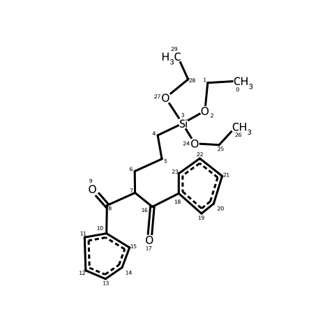 CCO[Si](CCCC(C(=O)c1ccccc1)C(=O)c1ccccc1)(OCC)OCC